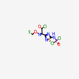 O=C(Cl)C(=NOCF)c1nsc(NP(=O)(Cl)Cl)n1